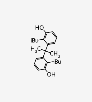 CCC(C)c1c(O)cccc1C(C)(C)c1cccc(O)c1C(C)CC